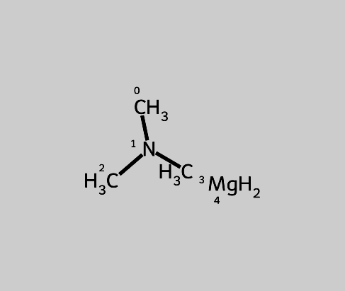 CN(C)C.[MgH2]